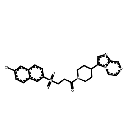 O=C(CCS(=O)(=O)c1ccc2cc(Cl)ccc2c1)N1CCC(c2cnc3cnccn23)CC1